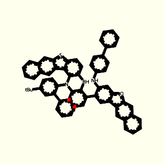 Cc1cc(-c2cc3c(cc2Nc2ccc(-c4ccccc4)cc2)oc2cc4ccccc4cc23)c2c(c1)N(c1ccc(C(C)(C)C)cc1-c1ccccc1)c1c(ccc3sc4cc5ccccc5cc4c13)B2